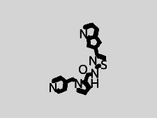 O=C(Nc1nc(C2Cc3cccnc3C2)cs1)c1cccn1Cc1ccncc1